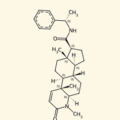 C[C@H](NC(=O)[C@H]1CC[C@H]2[C@@H]3CC[C@H]4N(C)C(=O)C=C[C@]4(C)[C@H]3CC[C@]12C)c1ccccc1